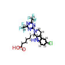 O=C(O)CCCCC[C@H]1c2[nH]c3ccc(Cl)cc3c2CCN1c1nc(C(F)(F)F)nc(C(F)(F)F)n1